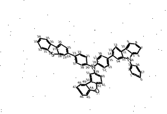 c1ccc(-n2c3ccccc3c3ccc(-c4ccc(N(c5ccc(-c6ccc7c(c6)sc6ccccc67)cc5)c5ccc6oc7ccccc7c6c5)cc4)cc32)cc1